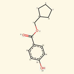 O=C(OCC1CCCC1)c1ccc(O)cc1